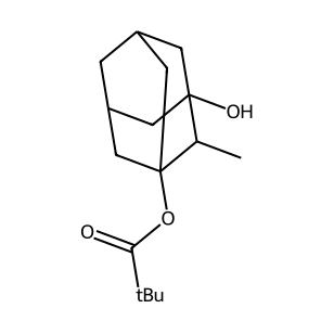 CC1C2(O)CC3CC(C2)CC1(OC(=O)C(C)(C)C)C3